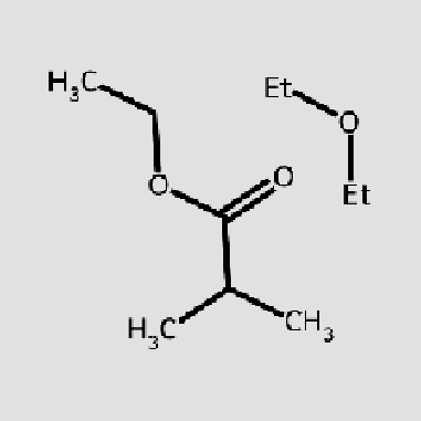 CCOC(=O)C(C)C.CCOCC